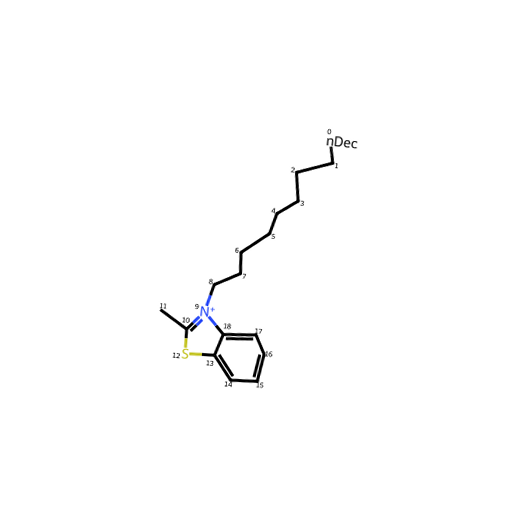 CCCCCCCCCCCCCCCCCC[n+]1c(C)sc2ccccc21